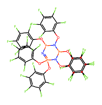 Fc1c(F)c(F)c(ON2P(Oc3c(F)c(F)c(F)c(F)c3F)N=P(Oc3c(F)c(F)c(F)c(F)c3F)(Oc3c(F)c(F)c(F)c(F)c3F)N(Oc3c(F)c(F)c(F)c(F)c3F)P2Oc2c(F)c(F)c(F)c(F)c2F)c(F)c1F